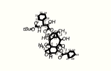 CC1=C2[C@@H](O)C(=O)[C@@]3(C)C([C@H](C)[C@](O)(C[C@@H]1OC(=O)[C@H](O)[C@@H](NC(=O)OC(C)(C)C)c1ccccc1)C2(C)C)[C@]1(C)CO[C@@H]1C[C@@H]3OC(=O)c1ccccc1